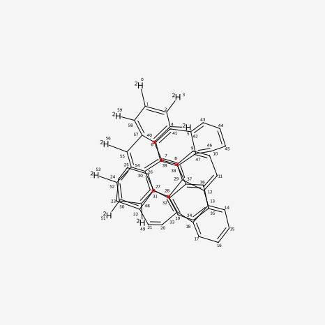 [2H]c1c([2H])c([2H])c2c(-c3cccc4c5ccccc5c5ccc6ccccc6c5c34)c3c(-c4ccccc4-c4cccc5ccccc45)c([2H])c([2H])c([2H])c3c([2H])c2c1[2H]